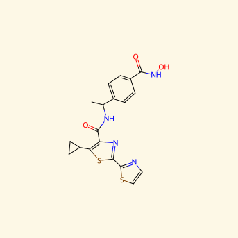 CC(NC(=O)c1nc(-c2nccs2)sc1C1CC1)c1ccc(C(=O)NO)cc1